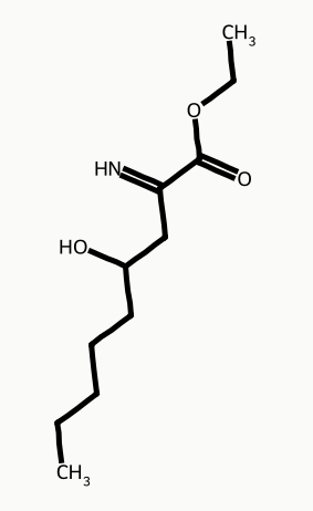 CCCCCC(O)CC(=N)C(=O)OCC